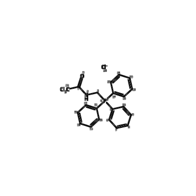 O=C(NC[P+](c1ccccc1)(c1ccccc1)c1ccccc1)C(Cl)(Cl)Cl.[Cl-]